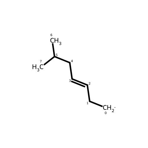 [CH2]CC=CCC(C)C